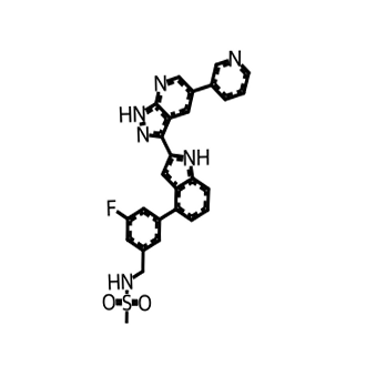 CS(=O)(=O)NCc1cc(F)cc(-c2cccc3[nH]c(-c4n[nH]c5ncc(-c6cccnc6)cc45)cc23)c1